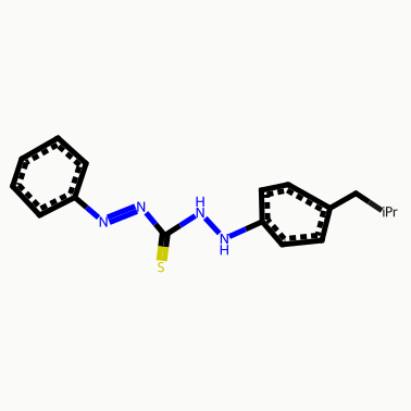 CC(C)Cc1ccc(NNC(=S)/N=N/c2ccccc2)cc1